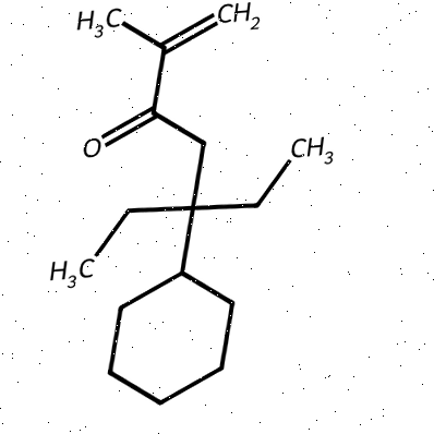 C=C(C)C(=O)CC(CC)(CC)C1CCCCC1